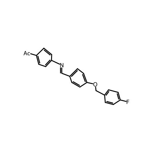 CC(=O)c1ccc(/N=C/c2ccc(OCc3ccc(F)cc3)cc2)cc1